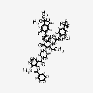 CCc1c(N2CCN(C(=O)c3ncnc(C)c3OCc3ccccc3)CC2)c(=O)n2nc(-c3cc4c(cc3F)C(C)(C)OC4)nc2n1CC(=O)Nc1ccc(C(F)(F)F)cc1Cl